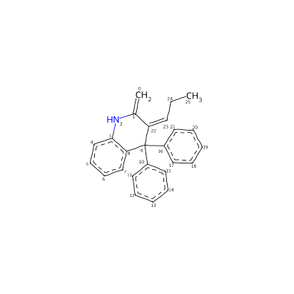 C=C1Nc2ccccc2C(c2ccccc2)(c2ccccc2)/C1=C/CC